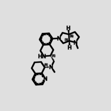 CN1CC[C@H]2CN(c3cccc4c3C[C@H](CN(C)[C@H]3CCCc5cccnc53)NC4)C[C@H]21